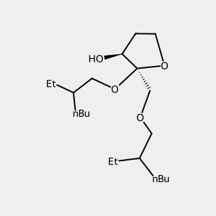 CCCCC(CC)COC[C@@]1(OCC(CC)CCCC)OCC[C@@H]1O